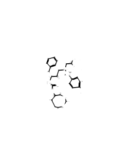 COc1ccc(S(=O)(=O)N(CC(C)C)C[C@@H](O)[C@H](Cc2ccccc2)NC(=O)OC2CCCOCOC2)cc1